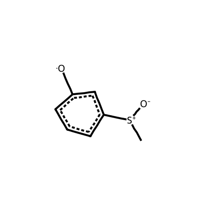 C[S+]([O-])c1cccc([O])c1